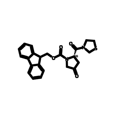 O=C1C[C@@H](C(=O)N2CCSC2)N(C(=O)OCC2c3ccccc3-c3ccccc32)C1